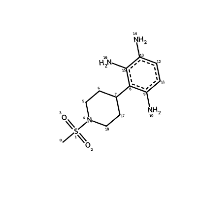 CS(=O)(=O)N1CCC(c2c(N)ccc(N)c2N)CC1